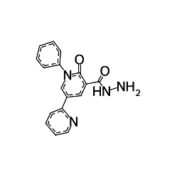 NNC(=O)c1cc(-c2ccccn2)cn(-c2ccccc2)c1=O